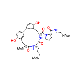 CNCCC[C@@H]1NC(=O)[C@@H](NC)Cc2cc(ccc2O)-c2ccc(O)c(c2)C[C@@H](C(=O)N2CCC[C@H]2C(=O)NCCNC)NC1=O